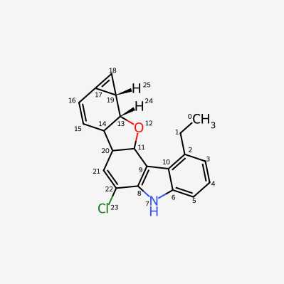 CCc1cccc2[nH]c3c(c12)C1O[C@@H]2C(C=CC4=C[C@@H]42)C1C=C3Cl